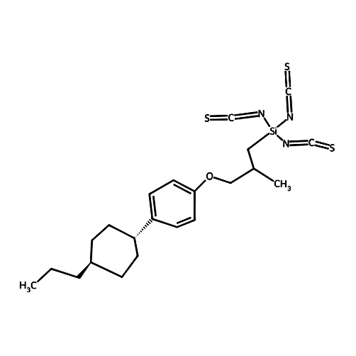 CCC[C@H]1CC[C@H](c2ccc(OCC(C)C[Si](N=C=S)(N=C=S)N=C=S)cc2)CC1